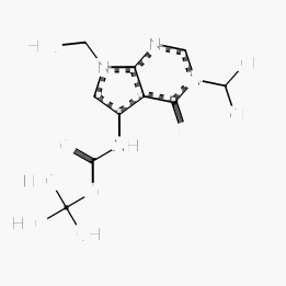 CCn1cc(NC(=O)OC(C)(C)C)c2c(=O)n(C(C)C)cnc21